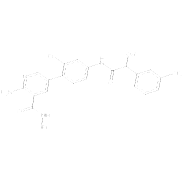 CCc1cc(NC(=O)C(O)c2cccc(C(F)(F)F)c2)ccc1-c1cnc(N)c(C(=O)NC(C)C)c1